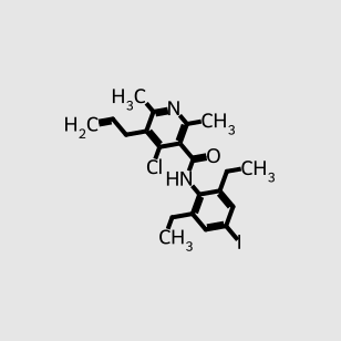 C=CCc1c(C)nc(C)c(C(=O)Nc2c(CC)cc(I)cc2CC)c1Cl